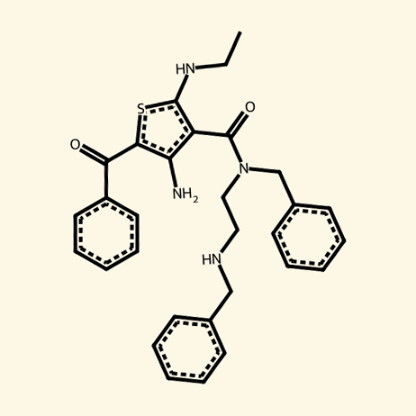 CCNc1sc(C(=O)c2ccccc2)c(N)c1C(=O)N(CCNCc1ccccc1)Cc1ccccc1